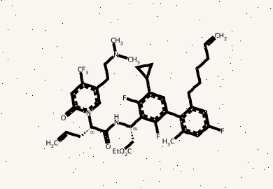 C=CCCCCc1cc(F)cc(C)c1-c1cc(C2CC2)c(F)c([C@H](CC(=O)OCC)NC(=O)[C@H](CC=C)n2cc(CCN(C)C)c(C(F)(F)F)cc2=O)c1F